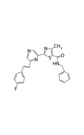 Cc1nc(-c2cncc(C=Cc3ccc(F)cc3)n2)sc1C(=O)NCc1ccccc1